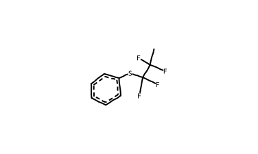 CC(F)(F)C(F)(F)Sc1ccccc1